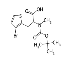 CN(C(=O)OC(C)(C)C)C(Cc1sccc1Br)C(=O)O